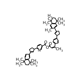 CC(=CC(=O)OC(=O)c1ccc(C2C=C(c3ccc4c(c3)C(C)(C)CCC4(C)C)CC2)nc1)c1ccc(C2C=C(c3cc4c(cc3C)C(C)(C)CCC4(C)C)CC2)cc1